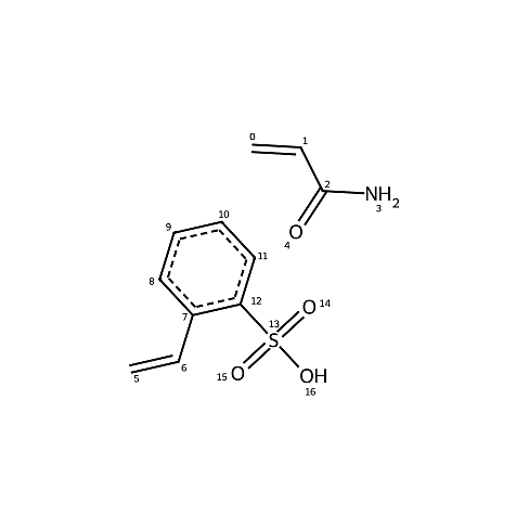 C=CC(N)=O.C=Cc1ccccc1S(=O)(=O)O